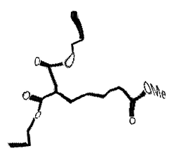 C=CCOC(=O)C(CCCCC(=O)OC)C(=O)OCC=C